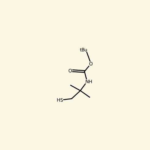 CC(C)(CS)NC(=O)OC(C)(C)C